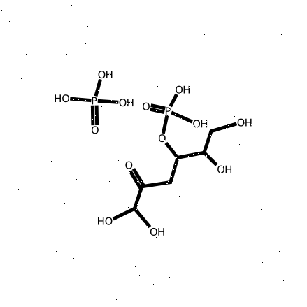 O=C(CC(OP(=O)(O)O)C(O)CO)C(O)O.O=P(O)(O)O